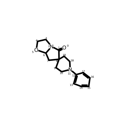 O=C1N2CCOC2CC12CCN(c1ccccc1)CC2